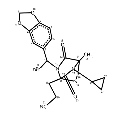 CCCC(c1ccc2c(c1)OCO2)N1C(=O)C2(C)SSC1(CCC#N)C(=O)N2C1CC1